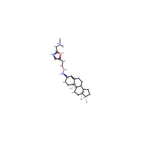 C[C@H]1CCC2C3CCC4=CC(=NOCCc5cnc(CN(C)C)o5)CC[C@]4(C)C3CC[C@@]21C